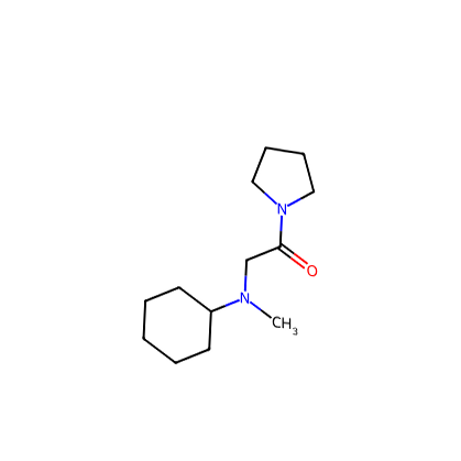 CN(CC(=O)N1CCCC1)C1CCCCC1